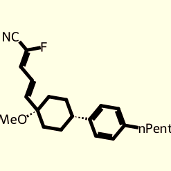 CCCCCc1ccc([C@H]2CC[C@@](C=CC=C(F)C#N)(OC)CC2)cc1